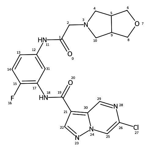 O=C(CN1CC2COCC2C1)Nc1ccc(F)c(NC(=O)c2cnn3cc(Cl)ncc23)c1